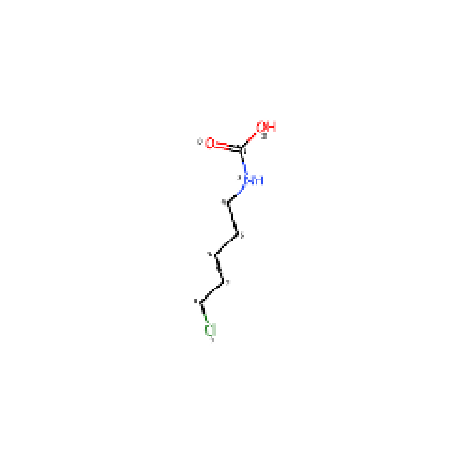 O=C(O)NCCCCCCl